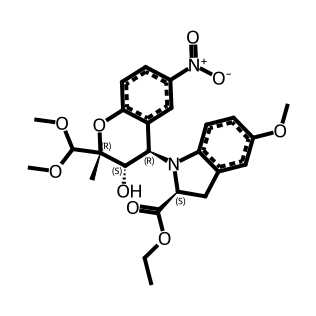 CCOC(=O)[C@@H]1Cc2cc(OC)ccc2N1[C@@H]1c2cc([N+](=O)[O-])ccc2O[C@@](C)(C(OC)OC)[C@H]1O